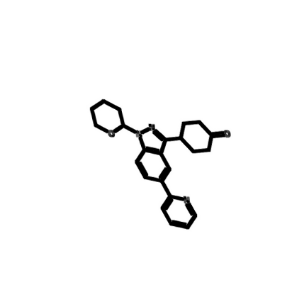 O=C1CCC(c2nn(C3CCCCO3)c3ccc(-c4ccccn4)cc23)CC1